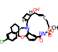 C[C@H]1CC/C=C/[C@@H](O)[C@@H]2CC[C@H]2CN2C[C@@]3(CCCc4cc(Cl)ccc43)COc3ccc(cc32)C(=O)NS1(=O)=O